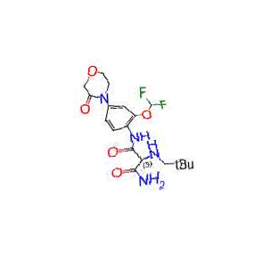 CC(C)(C)CN[C@@H](C(N)=O)C(=O)Nc1ccc(N2CCOCC2=O)cc1OC(F)F